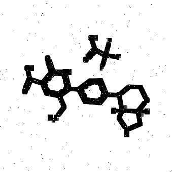 CCc1cc(C(=O)O)c(=O)[nH]c1-c1ccc(N2CCO[C@H]3CNC[C@H]32)cc1.O=C(O)C(F)(F)F